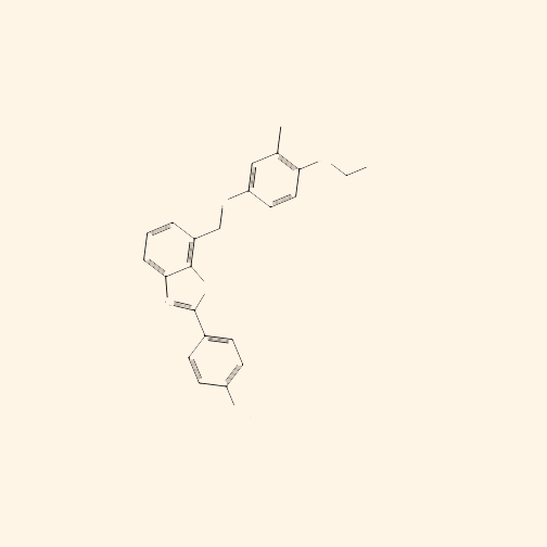 CCOC(=O)COc1ccc(SCc2cccc3nc(-c4ccc(C(F)(F)F)cc4)sc23)cc1C